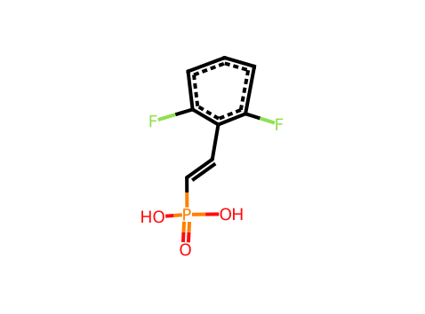 O=P(O)(O)/C=C/c1c(F)cccc1F